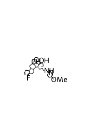 COc1ccc(NCCC[C@@H]2/C(=C/O)C(=O)[C@@]3(C)CCC4c5cccc(F)c5CCC4C23)nc1